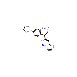 CN1Cc2cc(N3CCCC3)ccc2C(c2cc3nccn3cn2)C1